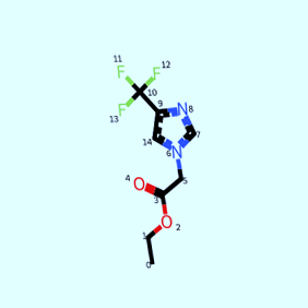 CCOC(=O)Cn1cnc(C(F)(F)F)c1